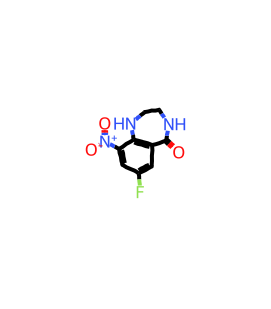 O=C1NCCNc2c1cc(F)cc2[N+](=O)[O-]